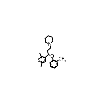 Cc1cc(C(CCN2CCCCC2)Oc2ccccc2C(F)(F)F)c(C)s1